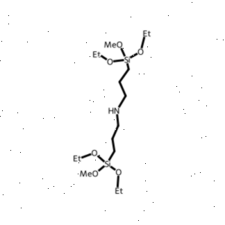 CCO[Si](CCCNCCC[Si](OC)(OCC)OCC)(OC)OCC